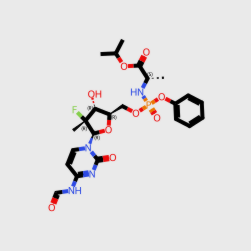 CC(C)OC(=O)[C@H](C)NP(=O)(OC[C@H]1O[C@@H](n2ccc(NC=O)nc2=O)[C@](C)(F)[C@@H]1O)Oc1ccccc1